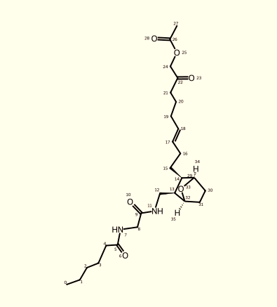 CCCCCC(=O)NCC(=O)NC[C@H]1[C@@H](CCC=CCCCC(=O)COC(C)=O)[C@H]2CC[C@@H]1O2